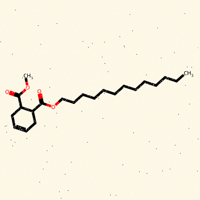 CCCCCCCCCCCCCOC(=O)C1CC=CCC1C(=O)OC